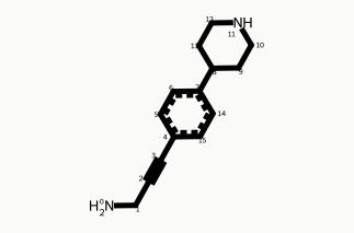 NCC#Cc1ccc(C2CCNCC2)cc1